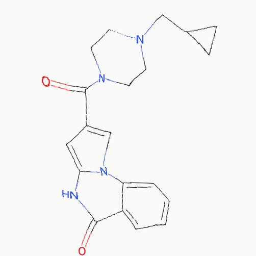 O=C(c1cc2[nH]c(=O)c3ccccc3n2c1)N1CCN(CC2CC2)CC1